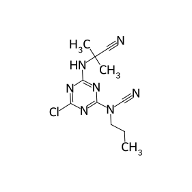 CCCN(C#N)c1nc(Cl)nc(NC(C)(C)C#N)n1